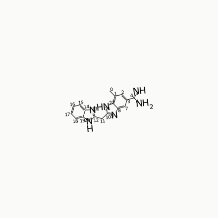 Cc1cc(C(=N)N)cc2nc(Cc3nc4ccccc4[nH]3)[nH]c12